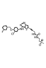 CS(=O)(=O)CCNC(=O)NCC#Cc1cc2ncnc(Nc3ccc(OCc4cccc(F)c4)c(Cl)c3)c2s1